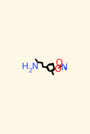 Cc1cc(CCC(C)N)ccc1OC(=O)N(C)C